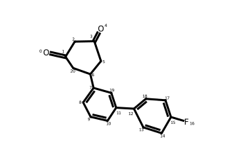 O=C1CC(=O)CC(c2cccc(-c3ccc(F)cc3)c2)C1